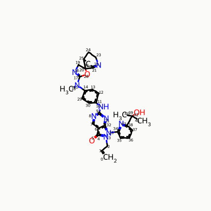 C=CCn1c(=O)c2cnc(Nc3ccc(N(C)C4=NCC5(CN6CCC5CC6)O4)cc3)nc2n1-c1cccc(C(C)(C)O)n1